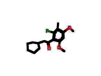 COc1cc(OC)c(C(=O)CC2CCCCC2)c(F)c1C